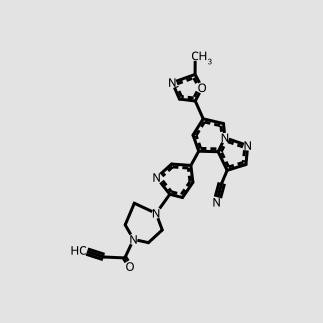 C#CC(=O)N1CCN(c2ccc(-c3cc(-c4cnc(C)o4)cn4ncc(C#N)c34)cn2)CC1